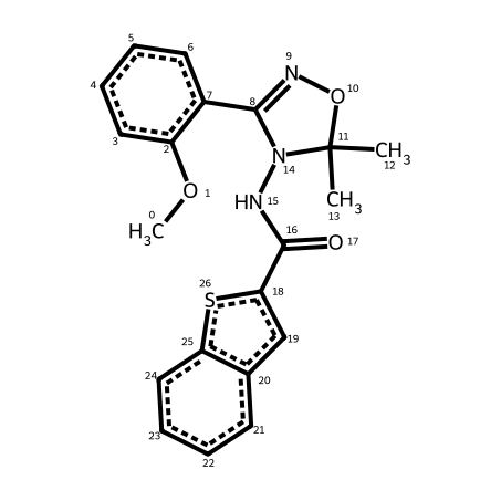 COc1ccccc1C1=NOC(C)(C)N1NC(=O)c1cc2ccccc2s1